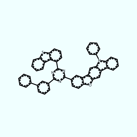 c1ccc(-c2cccc(-c3nc(-c4ccc5oc6cc7c8ccccc8n(-c8ccccc8)c7cc6c5c4)nc(-c4cccc5sc6ccccc6c45)n3)c2)cc1